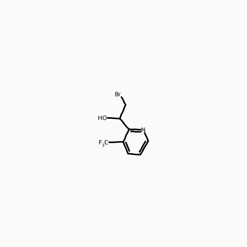 OC(CBr)c1ncccc1C(F)(F)F